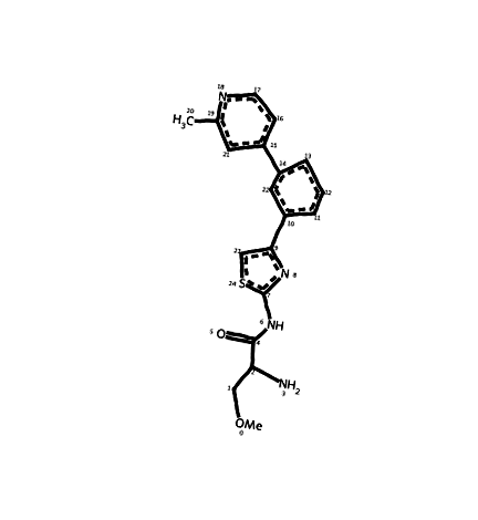 COCC(N)C(=O)Nc1nc(-c2cccc(-c3ccnc(C)c3)c2)cs1